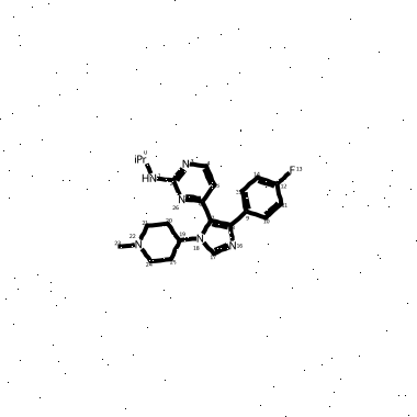 CC(C)Nc1nccc(-c2c(-c3ccc(F)cc3)ncn2C2CCN(C)CC2)n1